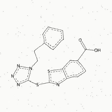 O=C(O)c1ccc2nc(Sc3nnnn3CCc3ccccc3)sc2c1